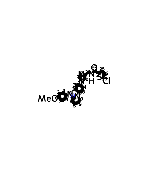 COc1ccc(/N=c2\ccccn2-c2ccc(-n3cnc(CNC(=O)c4ccc(Cl)s4)c3)cc2)cc1